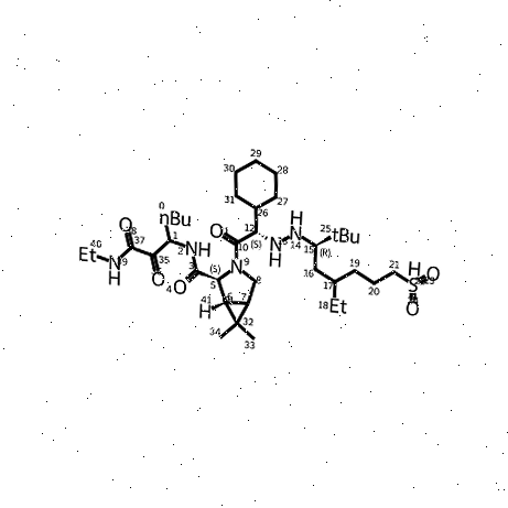 CCCCC(NC(=O)[C@@H]1[C@@H]2C(CN1C(=O)[C@@H](NN[C@H](CC(CC)CCC[SH](=O)=O)C(C)(C)C)C1CCCCC1)C2(C)C)C(=O)C(=O)NCC